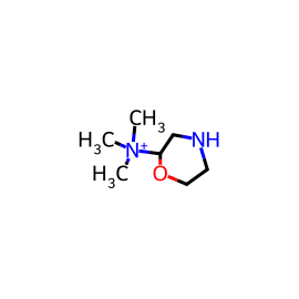 C[N+](C)(C)C1CNCCO1